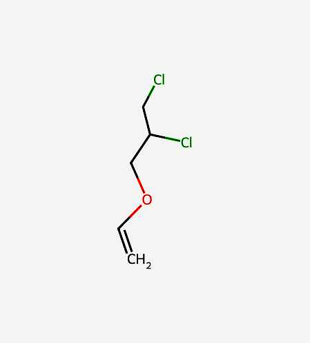 C=COCC(Cl)CCl